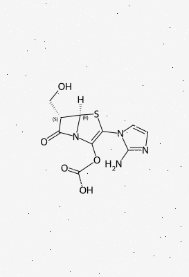 Nc1nccn1C1=C(OC(=O)O)N2C(=O)[C@H](CO)[C@H]2S1